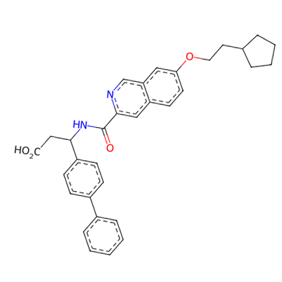 O=C(O)CC(NC(=O)c1cc2ccc(OCCC3CCCC3)cc2cn1)c1ccc(-c2ccccc2)cc1